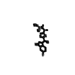 C[C@@H](c1csc(C(=O)c2c[nH]c3cc(F)ccc23)n1)N(C)[S+]([O-])C(C)(C)C